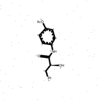 CC(=O)Oc1ccc(NC(=O)[C@@H](O)CC(C)C)cc1